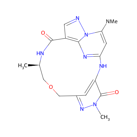 CNc1cc2nc3c(cnn13)C(=O)N[C@H](C)COCc1cc(c(=O)n(C)n1)N2